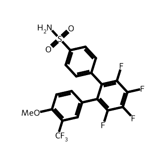 COc1ccc(-c2c(F)c(F)c(F)c(F)c2-c2ccc(S(N)(=O)=O)cc2)cc1C(F)(F)F